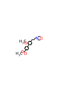 COC(=O)c1ccc(-c2ccc(CCCN3CCOCC3)cc2OC)cc1